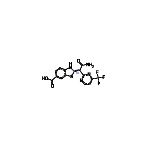 NC(=O)/C(=C1\Nc2ccc(C(=O)O)cc2S1)c1nccc(C(F)(F)F)n1